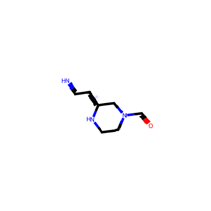 N=C/C=C1/CN(C=O)CCN1